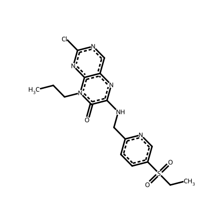 CCCn1c(=O)c(NCc2ccc(S(=O)(=O)CC)cn2)nc2cnc(Cl)nc21